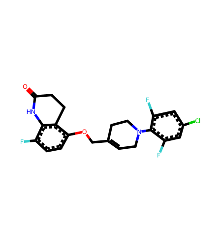 O=C1CCc2c(OCC3=CCN(c4c(F)cc(Cl)cc4F)CC3)ccc(F)c2N1